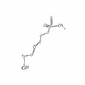 COOOOOOOS(C)(=O)=O